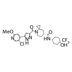 COc1cc(-c2cc(C(=O)N3CC[C@@H](C(=O)N[C@H]4CC[C@@](O)(C(F)(F)F)CC4)CC34CC4)n[nH]2)c(Cl)cn1